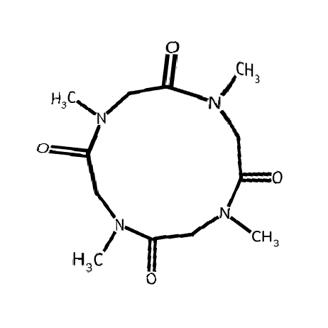 CN1CC(=O)N(C)CC(=O)N(C)CC(=O)N(C)CC1=O